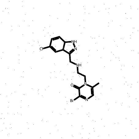 Cc1cnc(Br)c(=O)n1CCNCC1=NNC2C=CC(Cl)=CC12